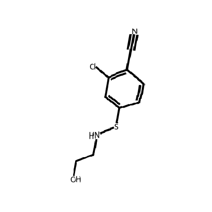 N#Cc1ccc(SNCCO)cc1Cl